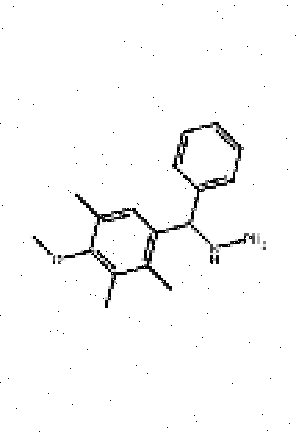 COc1c(C)cc(C(BP)c2ccccc2)c(C)c1C